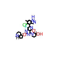 COc1nc(-c2c(Cl)c(C)cc3[nH]ncc23)c(F)c2nc(OC[C@]34CCC[C@H]3N(C)CCC4)nc(N3CCC[C@@](C)(O)C3)c12